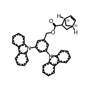 O=C(OCc1cc(-n2c3ccccc3c3ccccc32)cc(-n2c3ccccc3c3ccccc32)c1)C1C[C@H]2C=C[C@@H]1C2